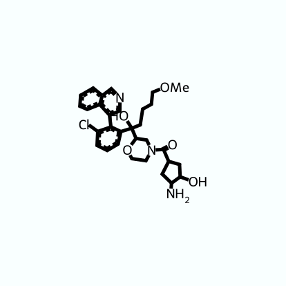 COCCCCC(O)(c1cccc(Cl)c1-c1cncc2ccccc12)C1CN(C(=O)C2CC(N)C(O)C2)CCO1